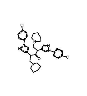 O=C(C(CN1CCCCC1)c1cnn(-c2ccc(Cl)cc2)c1)C(CN1CCCCC1)c1cnn(-c2ccc(Cl)cc2)c1